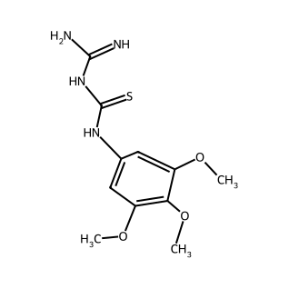 COc1cc(NC(=S)NC(=N)N)cc(OC)c1OC